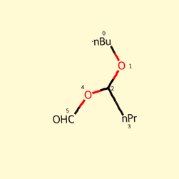 CCC[CH]OC(CCC)OC=O